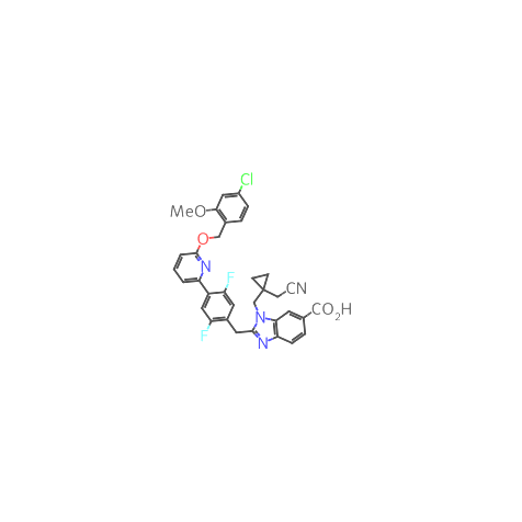 COc1cc(Cl)ccc1COc1cccc(-c2cc(F)c(Cc3nc4ccc(C(=O)O)cc4n3CC3(CC#N)CC3)cc2F)n1